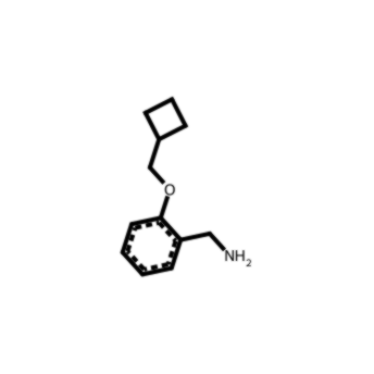 NCc1ccccc1OCC1CCC1